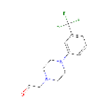 O=CCN1CCN(c2cccc(C(F)(F)F)c2)CC1